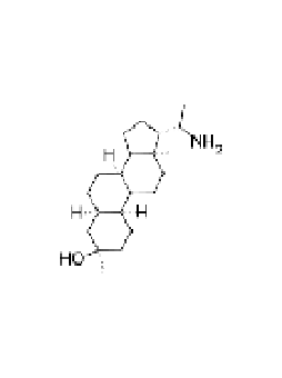 CC(N)[C@H]1CCC2[C@@H]3CC[C@@H]4C[C@](C)(O)CC[C@@H]4C3CC[C@@]21C